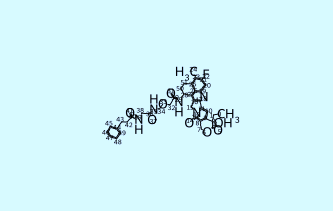 CC[C@@]1(O)C(=O)OCc2c1cc1n(c2=O)Cc2c-1nc1cc(F)c(C)c3c1c2[C@@H](NC(=O)COCNC(=O)CNC(=O)CCc1ccccc1)CC3